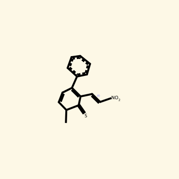 CC1C=CC(c2ccccc2)=C(/C=C/[N+](=O)[O-])C1=S